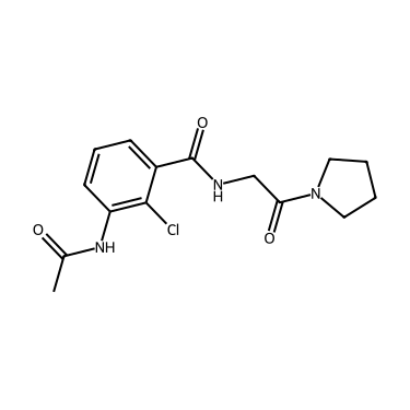 CC(=O)Nc1cccc(C(=O)NCC(=O)N2CCCC2)c1Cl